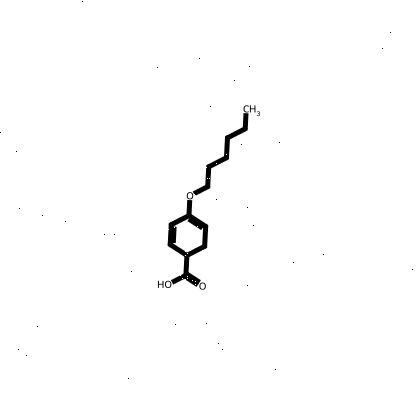 CCCCCCOC1=CCC(C(=O)O)C=C1